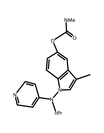 CCCN(c1ccncc1)n1cc(C)c2cc(OC(=O)NC)ccc21